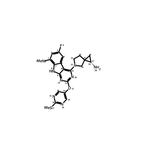 CNc1cc(F)cc2c1[nH]c1nc(Oc3cnc(SC)nc3)nc(N3CCC4(C[C@@H]4N)C3)c12